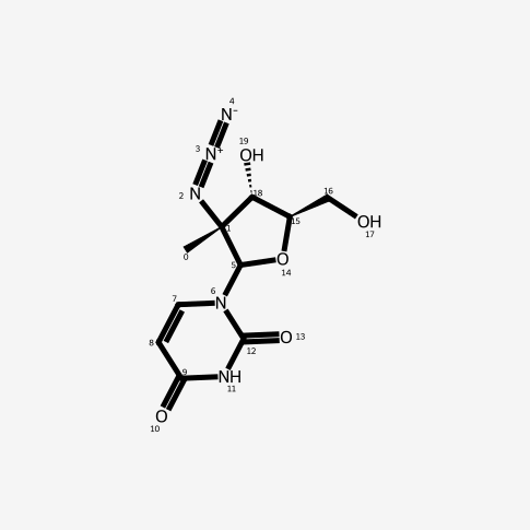 C[C@]1(N=[N+]=[N-])C(n2ccc(=O)[nH]c2=O)O[C@H](CO)[C@H]1O